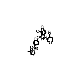 CC1(C)CCCN1S(=O)(=O)c1ccc(Nc2nn([C@H]3COCCC3C#N)c3cc[nH]c(=O)c23)cc1